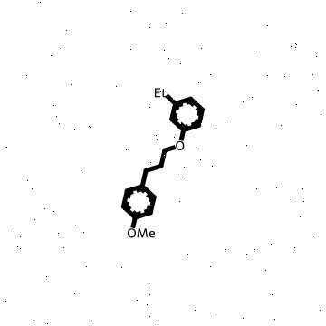 CCc1cccc(OCCCc2ccc(OC)cc2)c1